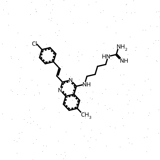 Cc1ccc2nc(/C=C/c3ccc(Cl)cc3)nc(NCCCCNC(=N)N)c2c1